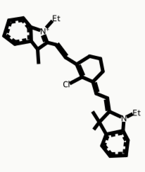 CCN1/C(=C/C=C2\CCCC(/C=C/C3=[N+](CC)c4ccccc4C3C)=C2Cl)C(C)(C)c2ccccc21